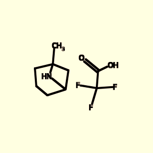 CC12CCCC(C1)N2.O=C(O)C(F)(F)F